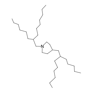 CCCCCCCC(CCCCCC)CN1CCC(CC(CCCCC)CCCCCC)CC1